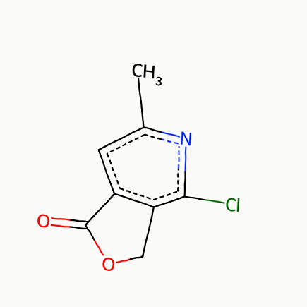 Cc1cc2c(c(Cl)n1)COC2=O